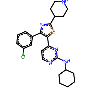 Clc1cccc(-c2nc(C3CCNCC3)sc2-c2ccnc(NC3CCCCC3)n2)c1